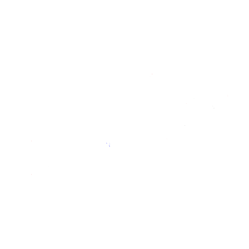 COc1ccc(CC2c3cc(OC)c(OC)cc3CCN2CCCOC(=O)/C=C\C(=O)Cl)cc1